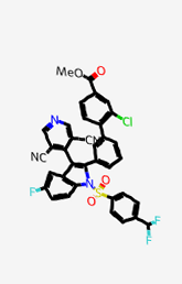 COC(=O)c1ccc(-c2cccc(-c3c(-c4c(C#N)cncc4C#N)c4cc(F)ccc4n3S(=O)(=O)c3ccc(C(F)F)cc3)c2)c(Cl)c1